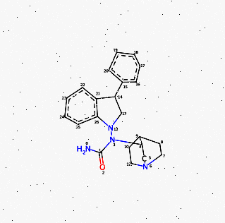 NC(=O)N(C1CN2CCC1CC2)N1CC(c2ccccc2)c2ccccc21